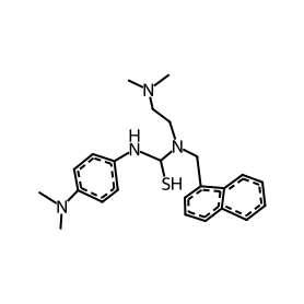 CN(C)CCN(Cc1cccc2ccccc12)C(S)Nc1ccc(N(C)C)cc1